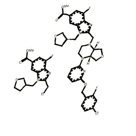 COC(=O)c1cc(F)c2nc(CCl)n(CC3CCOC3)c2c1.COC(=O)c1cc(F)c2nc(CN3CCN(c4cccc(OCc5ccc(Cl)cc5F)n4)[C@H]4COC[C@H]43)n(C[C@H]3CCOC3)c2c1